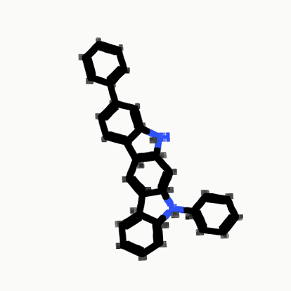 c1ccc(-c2ccc3c(c2)[nH]c2cc4c(cc23)c2ccccc2n4-c2ccccc2)cc1